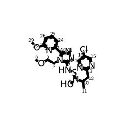 COCCn1c(NSN(O)C(C)Cc2ncc(Cl)cn2)nnc1-c1cccc(OC)n1